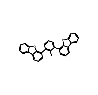 Cc1c(-c2cccc3c2oc2ccccc23)cccc1-c1cccc2c1oc1ccccc12